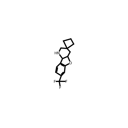 FC(F)(F)c1ccc2c(c1)OC1CC3(CCC3)CNC21